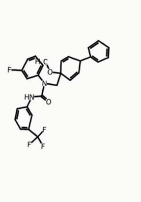 COC1(CN(C(=O)Nc2cccc(C(F)(F)F)c2)c2cccc(F)c2)C=CC(c2ccccc2)C=C1